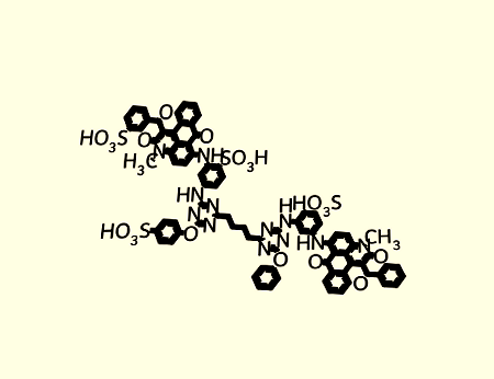 Cn1c(=O)c(C(=O)c2ccccc2)c2c3c(c(Nc4ccc(S(=O)(=O)O)c(Nc5nc(CCCCc6nc(Nc7ccc(S(=O)(=O)O)c(Nc8ccc9c%10c8C(=O)c8ccccc8-c%10c(C(=O)c8cccc(S(=O)(=O)O)c8)c(=O)n9C)c7)nc(Oc7ccc(S(=O)(=O)O)cc7)n6)nc(Oc6ccccc6)n5)c4)ccc31)C(=O)c1ccccc1-2